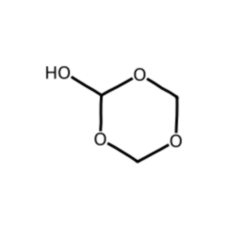 OC1OCOCO1